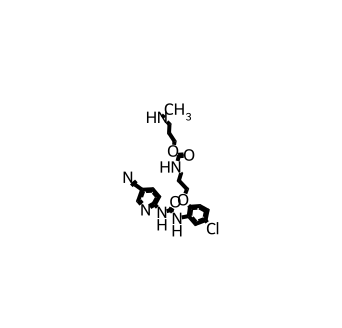 CNCCCOC(=O)NCCCOc1ccc(Cl)cc1NC(=O)Nc1ccc(C#N)cn1